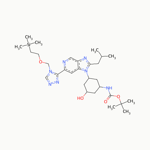 CC(C)Cc1nc2cnc(-c3nncn3COCC[Si](C)(C)C)cc2n1C1CC(O)CC(NC(=O)OC(C)(C)C)C1